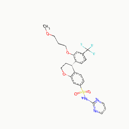 COCCCOc1cc(C(F)(F)F)ccc1[C@H]1CCOc2cc(S(=O)(=O)Nc3ncccn3)ccc21